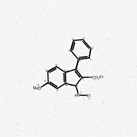 CCNC1C(C(=O)OCC)=C(c2ccccc2)c2ccc(OC)cc21